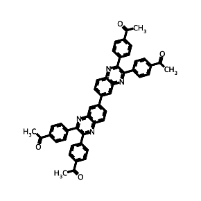 CC(=O)c1ccc(-c2nc3ccc(-c4ccc5nc(-c6ccc(C(C)=O)cc6)c(-c6ccc(C(C)=O)cc6)nc5c4)cc3nc2-c2ccc(C(C)=O)cc2)cc1